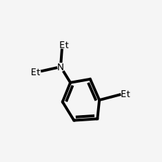 CCc1cccc(N(CC)CC)c1